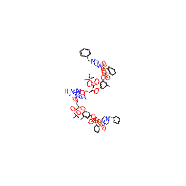 Cc1cc(OC(CCON=C(N)NOCCC(Oc2cc(C)cc(OS(=O)(=O)c3ccccc3S(=O)(=O)N3CCN(Cc4ccccc4)CC3)c2)C(=O)OC(C)(C)C)C(=O)OC(C)(C)C)cc(OS(=O)(=O)c2ccccc2S(=O)(=O)N2CCN(Cc3ccccc3)CC2)c1